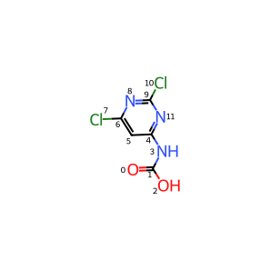 O=C(O)Nc1cc(Cl)nc(Cl)n1